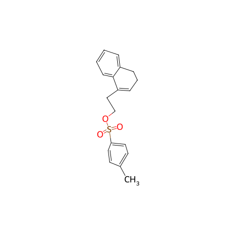 Cc1ccc(S(=O)(=O)OCCC2=CCCc3ccccc32)cc1